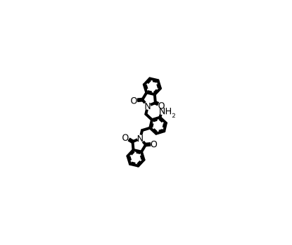 Nc1cccc(CN2C(=O)c3ccccc3C2=O)c1CN1C(=O)c2ccccc2C1=O